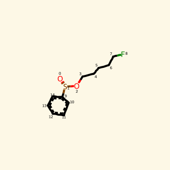 O=S(OCCCCCF)c1ccccc1